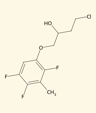 Cc1c(F)c(F)cc(OCC(O)CCCl)c1F